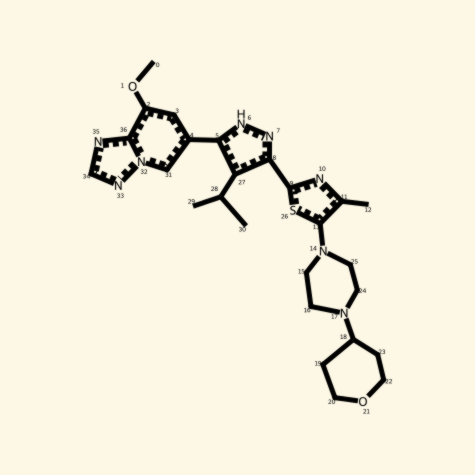 COc1cc(-c2[nH]nc(-c3nc(C)c(N4CCN(C5CCOCC5)CC4)s3)c2C(C)C)cn2ncnc12